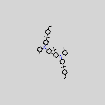 C=Cc1ccc(C(C)(C)c2ccc(N(c3cccc(C)c3)c3ccc4c(c3)C(C)(C)c3cc(N(c5ccc(C(C)(C)c6ccc(C=C)cc6)cc5)c5cccc(C)c5)ccc3-4)cc2)cc1